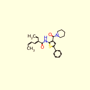 C=C/C(=C\C=C/C)C(=O)Nc1sc(-c2ccccc2)cc1C(=O)N1CCCCC1